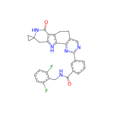 O=C(NCc1c(F)cccc1F)c1cccc(-c2ncc3c(n2)-c2[nH]c4c(c2CC3)C(=O)NC2(CC2)C4)c1